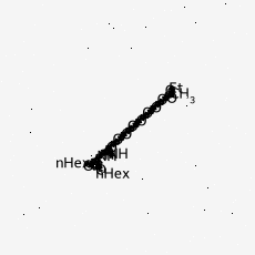 CCCCCCOc1cc(CN/C=C(/COCCOCCOCCOCCOCCOCCOCCOCCP(C)(=O)OCC)N=N)cc(OCCCCCC)c1